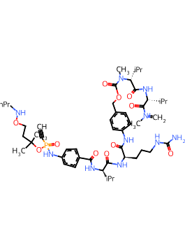 C#CP(=O)(Nc1ccc(C(=O)N[C@@H](C(=O)N[C@H](CCCNC(N)=O)C(=O)Nc2ccc(COC(=O)N(C)[C@@H](C(=O)N[C@@H](C(=O)[N+](=C)C)C(C)C)C(C)C)cc2)C(C)C)cc1)OC(C)(C)CCONCCC